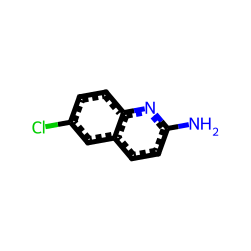 Nc1ccc2cc(Cl)ccc2n1